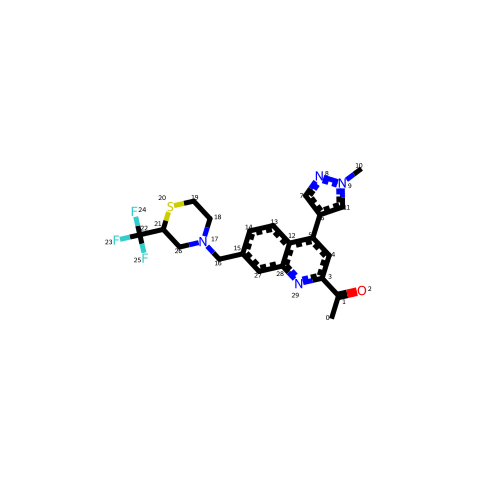 CC(=O)c1cc(-c2cnn(C)c2)c2ccc(CN3CCSC(C(F)(F)F)C3)cc2n1